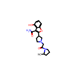 N#CC1CCCN1C(=O)CN1CCC(c2oc3cccc(O)c3c2C(N)=O)C1